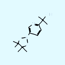 CC(C)(O)c1ccc(B2OC(C)(C)C(C)(C)O2)cn1